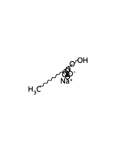 CCCCCCCCCCCCC(COCCOCCO)OS(=O)(=O)[O-].[Na+]